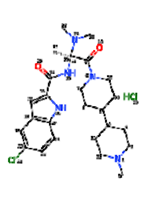 CN1CCC(C2CCN(C(=O)[C@@](C)(NC(=O)c3cc4cc(Cl)ccc4[nH]3)N(C)C)CC2)CC1.Cl